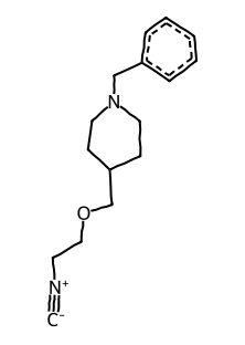 [C-]#[N+]CCOCC1CCN(Cc2ccccc2)CC1